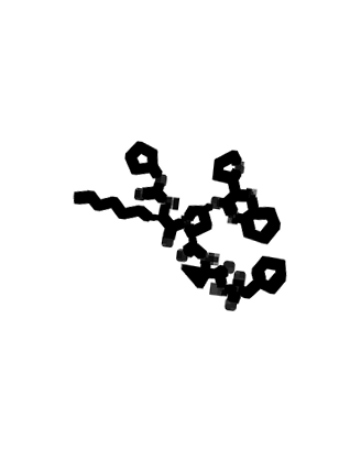 C=CCCCCC[C@H](NC(=O)OC1CCCC1)C(=O)N1C[C@H](Oc2nc3ccccc3nc2C2=CCCS2)C[C@H]1C(=O)NC1(C(=O)NS(=O)(=O)Cc2ccccc2)CC1